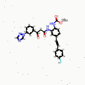 CC(C)(C)OC(=O)Nc1ccc(C#Cc2ccc(F)cc2)cc1NC(=O)CC(=O)c1cccc(-n2cncn2)c1